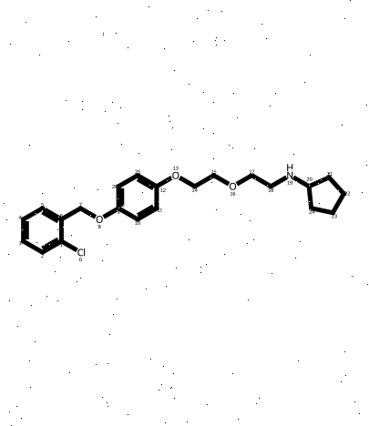 Clc1ccccc1COc1ccc(OCCOCCNC2CCCC2)cc1